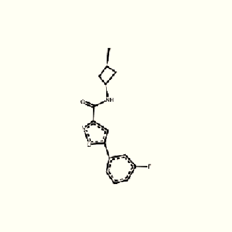 C[C@H]1C[C@@H](NC(=O)c2cc(-c3cccc(F)c3)on2)C1